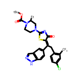 CCC1CN(C2=NC(=O)C(=C(Cc3ccc(Cl)cc3C(F)(F)F)c3ccc4[nH]ncc4c3)S2)CCN1C(=O)OC(C)(C)C